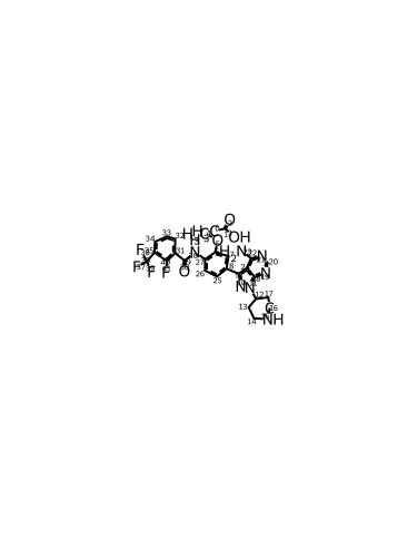 CC(=O)O.COc1cc(-c2nn(C3CCNCC3)c3ncnc(N)c23)ccc1NC(=O)c1cccc(C(F)(F)F)c1F